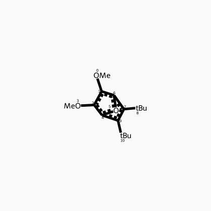 COc1c(OC)c2oc1c(C(C)(C)C)c2C(C)(C)C